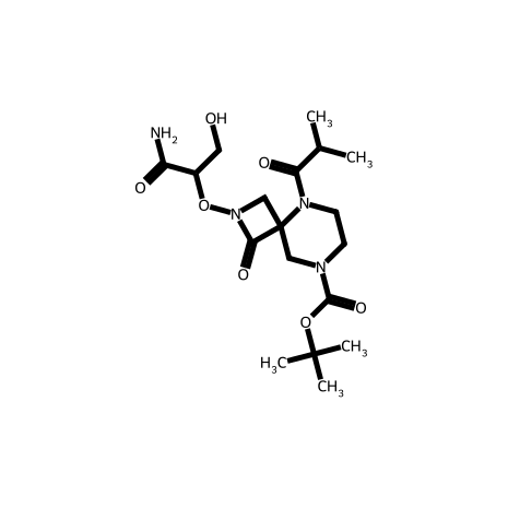 CC(C)C(=O)N1CCN(C(=O)OC(C)(C)C)CC12CN(OC(CO)C(N)=O)C2=O